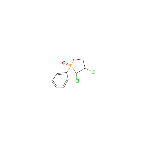 O=P1(c2ccccc2)CCC(Cl)C1Cl